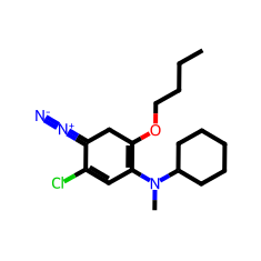 CCCCOC1=C(N(C)C2CCCCC2)C=C(Cl)C(=[N+]=[N-])C1